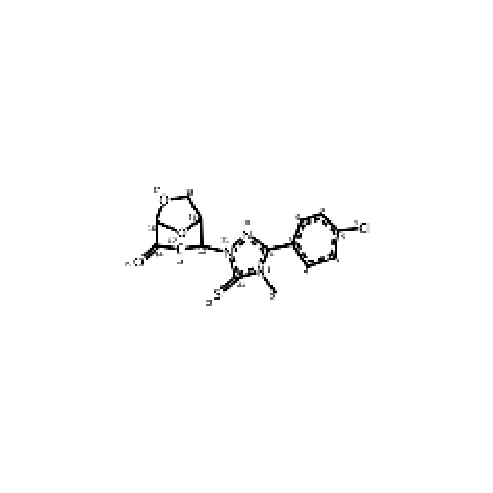 Cn1c(-c2ccc(Cl)cc2)nn(C2CC(=O)C3OCC2O3)c1=S